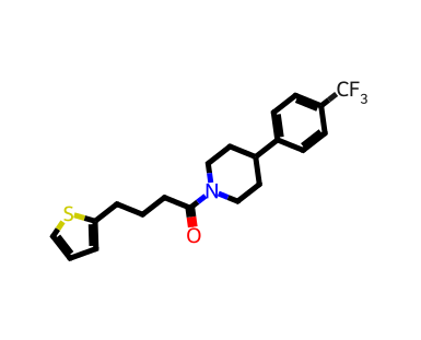 O=C(CCCc1cccs1)N1CCC(c2ccc(C(F)(F)F)cc2)CC1